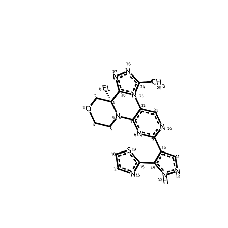 CC[C@@]12COCCN1c1nc(-c3cn[nH]c3-c3nccs3)ncc1-n1c(C)nnc12